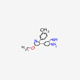 CCOc1cnc(-c2cccc(C)c2)c(-c2ccc(N)c(C=N)c2)c1